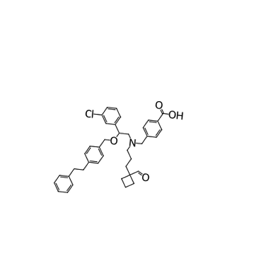 O=CC1(CCCN(Cc2ccc(C(=O)O)cc2)CC(OCc2ccc(CCc3ccccc3)cc2)c2cccc(Cl)c2)CCC1